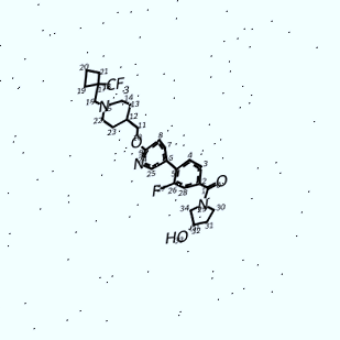 O=C(c1ccc(-c2ccc(OCC3CCN(CC4(C(F)(F)F)CCC4)CC3)nc2)c(F)c1)N1CC[C@H](O)C1